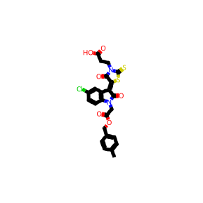 Cc1ccc(COC(=O)CN2C(=O)/C(=C3\SC(=S)N(CCC(=O)O)C3=O)c3cc(Cl)ccc32)cc1